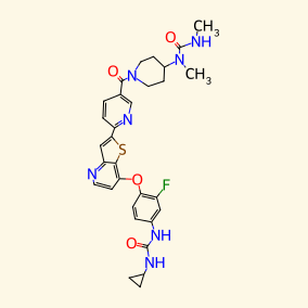 CNC(=O)N(C)C1CCN(C(=O)c2ccc(-c3cc4nccc(Oc5ccc(NC(=O)NC6CC6)cc5F)c4s3)nc2)CC1